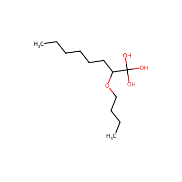 CCCCCCC(OCCCC)C(O)(O)O